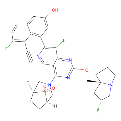 C#Cc1c(F)ccc2cc(O)cc(-c3ncc4c(N5C[C@H]6CC[C@@H](C5)S6(=O)=O)nc(OC[C@@]56CCCN5C[C@H](F)C6)nc4c3F)c12